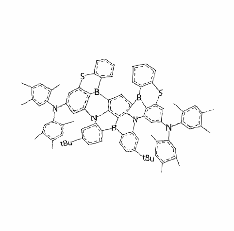 Cc1cc(C)c(N(c2cc3c4c(c2)N2c5cc(C(C)(C)C)ccc5B5c6ccc(C(C)(C)C)cc6N6c7cc(N(c8cc(C)c(C)cc8C)c8cc(C)c(C)cc8C)cc8c7B(c7ccccc7S8)c7cc(c2c5c76)B4c2ccccc2S3)c2cc(C)c(C)cc2C)cc1C